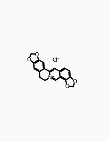 [Cl-].c1c2c(cc3c1OCO3)-c1cc3ccc4c(c3c[n+]1CC2)OCO4